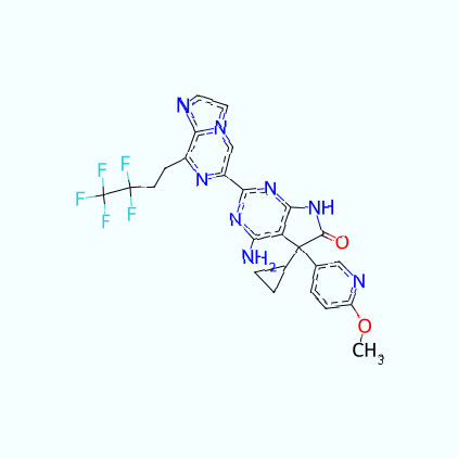 COc1ccc(C2(C3CC3)C(=O)Nc3nc(-c4cn5ccnc5c(CCC(F)(F)C(F)(F)F)n4)nc(N)c32)cn1